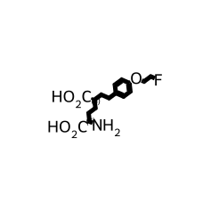 N[C@@H](CC[C@H](CCc1ccc(OCCF)cc1)C(=O)O)C(=O)O